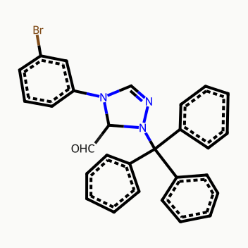 O=CC1N(c2cccc(Br)c2)C=NN1C(c1ccccc1)(c1ccccc1)c1ccccc1